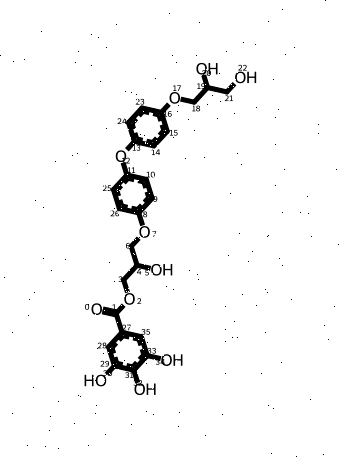 O=C(OCC(O)COc1ccc(Oc2ccc(OCC(O)CO)cc2)cc1)c1cc(O)c(O)c(O)c1